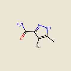 Cc1[nH]nc(C(N)=O)c1C(C)(C)C